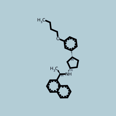 CCCCOc1cccc([C@@H]2CC[C@H](N[C@H](C)c3cccc4ccccc34)C2)c1